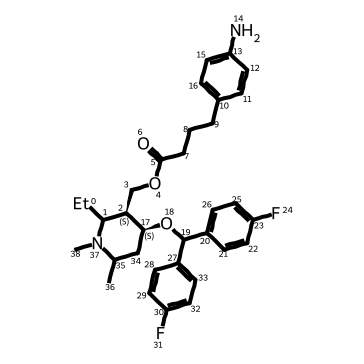 CCC1[C@@H](COC(=O)CCCc2ccc(N)cc2)[C@@H](OC(c2ccc(F)cc2)c2ccc(F)cc2)CC(C)N1C